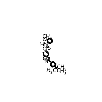 COc1ccccc1NC(=S)ON1CCC2(CC1)CC(c1ccc(C(C)(C)C)cc1)=NO2